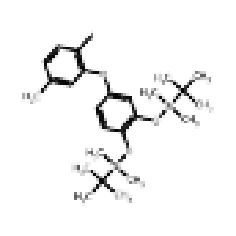 Cc1ccc(I)c(Oc2ccc(O[Si](C)(C)C(C)(C)C)c(O[Si](C)(C)C(C)(C)C)c2)c1